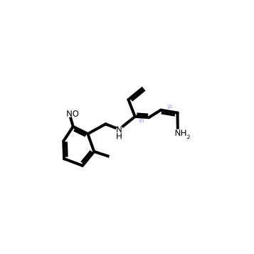 C=C/C(=C\C=C/N)NCc1c(C)cccc1N=O